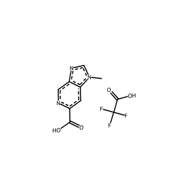 Cn1cnc2cnc(C(=O)O)cc21.O=C(O)C(F)(F)F